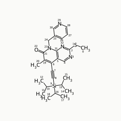 CSc1ncc2c(C#C[Si](C(C)C)(C(C)C)C(C)C)c(C)c(=O)n(Cc3cccnc3)c2n1